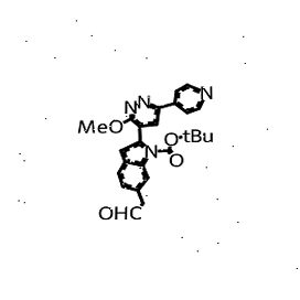 COc1nnc(-c2ccncc2)cc1-c1cc2ccc(CC=O)cc2n1C(=O)OC(C)(C)C